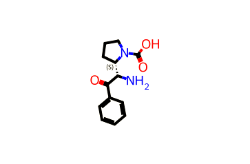 NC(C(=O)c1ccccc1)[C@@H]1CCCN1C(=O)O